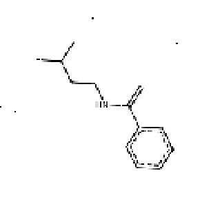 C=C(NCCC(C)C)c1ccccc1